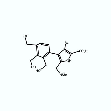 CNCc1[nH]c(C(=O)O)c(C(C)=O)c1-c1ccc(CO)c(CO)c1CO